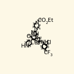 CCOC(=O)CN1CCN(c2nc3n(CC(=O)Nc4ccc(C(F)(F)F)cc4Cl)c(CC)c(N4CCNCC4)c(=O)n3n2)CC1